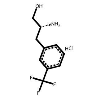 Cl.N[C@@H](CO)Cc1cccc(C(F)(F)F)c1